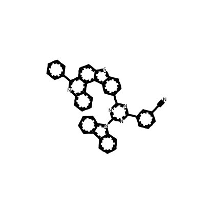 N#Cc1cccc(-c2nc(-c3ccc4sc5ccc6c(-c7ccccc7)nc7ccccc7c6c5c4c3)nc(-n3c4ccccc4c4ccccc43)n2)c1